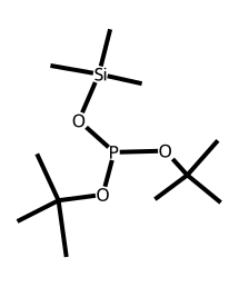 CC(C)(C)OP(OC(C)(C)C)O[Si](C)(C)C